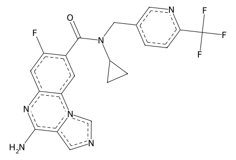 Nc1nc2cc(F)c(C(=O)N(Cc3ccc(C(F)(F)F)nc3)C3CC3)cc2n2cncc12